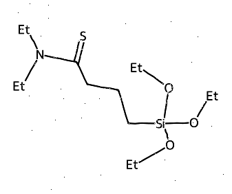 CCO[Si](CCCC(=S)N(CC)CC)(OCC)OCC